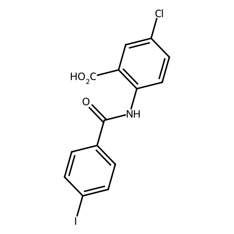 O=C(Nc1ccc(Cl)cc1C(=O)O)c1ccc(I)cc1